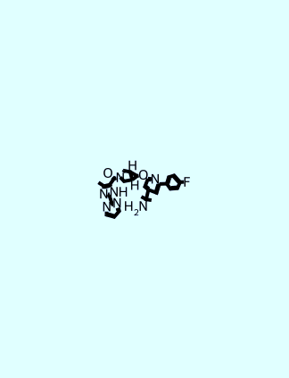 Cc1nc(-c2ncccn2)[nH]c1C(=O)N1C[C@@H]2C(Oc3cc(C(C)(C)N)cc(-c4ccc(F)cc4)n3)[C@@H]2C1